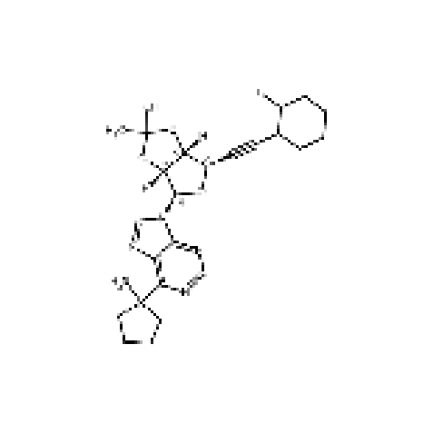 CC1(C)O[C@@H]2[C@H](O1)[C@@H](C#CC1CCCCC1F)O[C@H]2n1cnc2c(C3(N)CCCC3)ncnc21